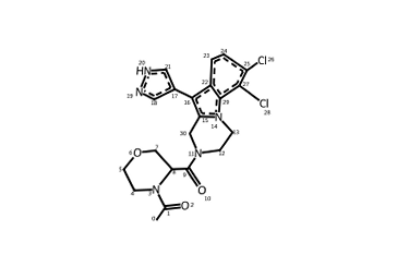 CC(=O)N1CCOCC1C(=O)N1CCn2c(c(-c3cn[nH]c3)c3ccc(Cl)c(Cl)c32)C1